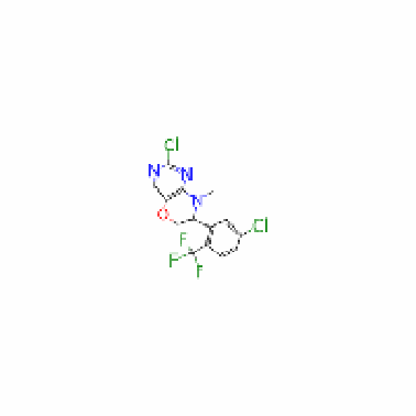 CN1c2nc(Cl)ncc2OCC1c1cc(Cl)ccc1C(F)(F)F